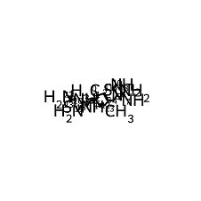 Cc1cc(CN(C(=N)N)C(N)=S)c(C)cc1CNC(N)NC(N)=S